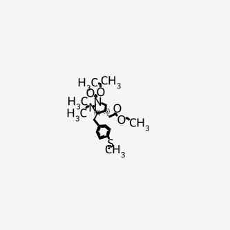 CCOC(=O)C[C@H]1CN(C(=O)OC(C)C)N(C(C)C)[C@@H]1Cc1ccc(SC)cc1